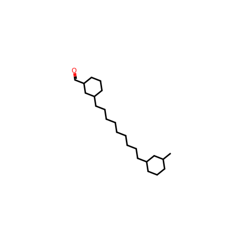 CC1CCCC(CCCCCCCCCC2CCCC(C=O)C2)C1